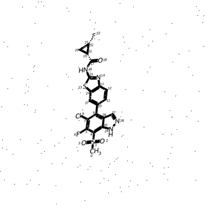 CS(=O)(=O)c1c(F)c(Cl)c(-c2ccc3nc(NC(=O)[C@@H]4C[C@@H]4F)sc3c2)c2cn[nH]c12